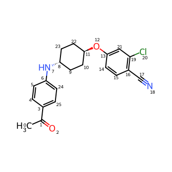 CC(=O)c1ccc(N[C@H]2CC[C@H](Oc3ccc(C#N)c(Cl)c3)CC2)cc1